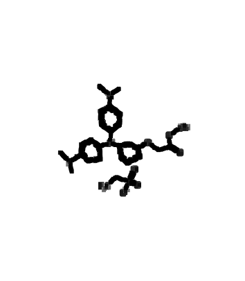 CN(C)c1ccc([S+](c2ccc(N(C)C)cc2)c2cccc(OCC(=O)OC(C)(C)C)c2)cc1.O=S(=O)([O-])CC(F)(F)F